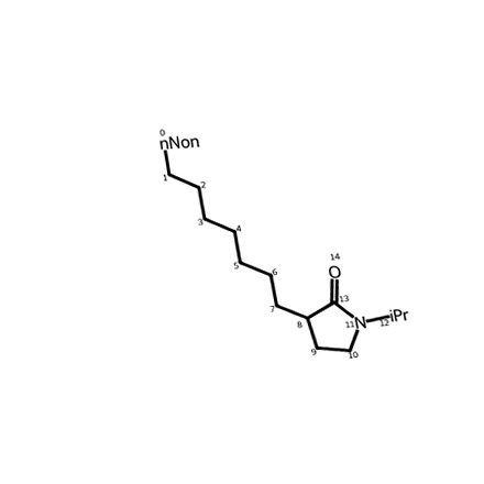 CCCCCCCCCCCCCCCCC1CCN(C(C)C)C1=O